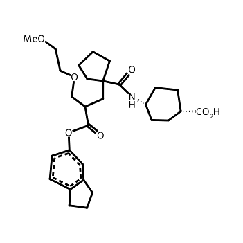 COCCOCC(CC1(C(=O)N[C@H]2CC[C@@H](C(=O)O)CC2)CCCC1)C(=O)Oc1ccc2c(c1)CCC2